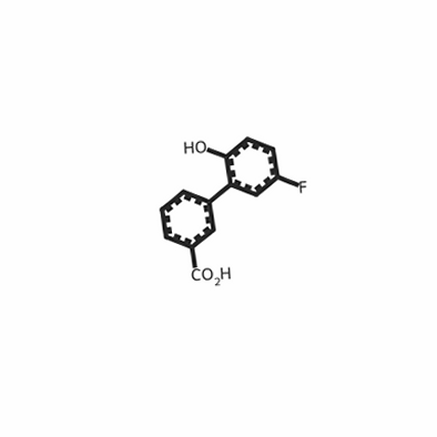 O=C(O)c1cccc(-c2cc(F)ccc2O)c1